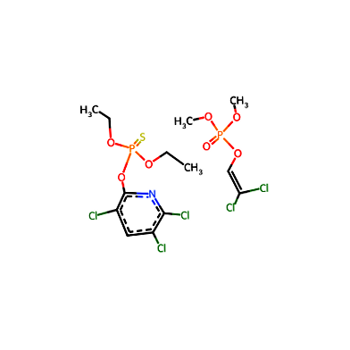 CCOP(=S)(OCC)Oc1nc(Cl)c(Cl)cc1Cl.COP(=O)(OC)OC=C(Cl)Cl